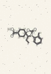 CCC1N(c2ccccc2C)C(=O)OC12CCC(C(=O)O)CC2